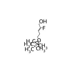 CC(C)(C)[Si](C)(C)OCC/C=C(\F)CO